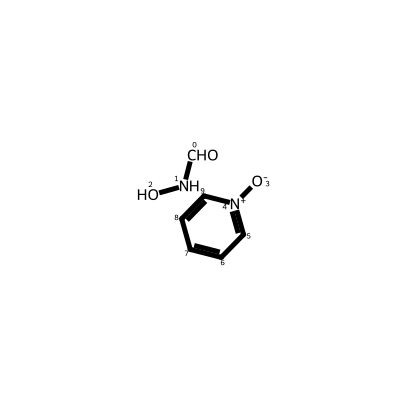 O=CNO.[O-][n+]1ccccc1